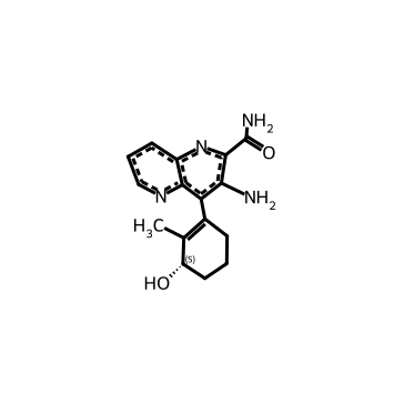 CC1=C(c2c(N)c(C(N)=O)nc3cccnc23)CCC[C@@H]1O